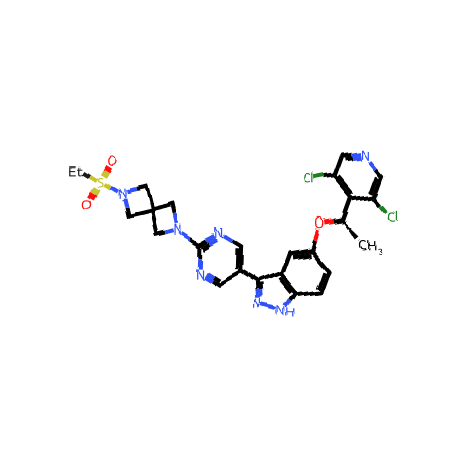 CCS(=O)(=O)N1CC2(CN(c3ncc(-c4n[nH]c5ccc(O[C@H](C)c6c(Cl)cncc6Cl)cc45)cn3)C2)C1